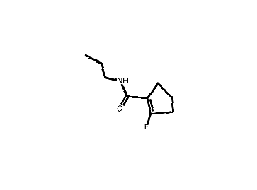 CCCNC(=O)C1=C(F)CCC1